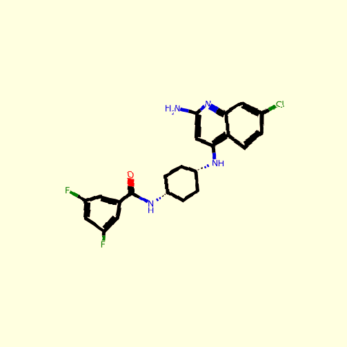 Nc1cc(N[C@H]2CC[C@@H](NC(=O)c3cc(F)cc(F)c3)CC2)c2ccc(Cl)cc2n1